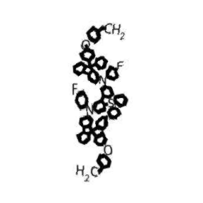 C=CC1=CC=C(OC2=CC=C(C3(C4=CC=CCC4)C4=C(CCC(N(C5=CC6C7C=C(N(C8=CCC(F)C=C8)C8=CC9C(C=C8)C8C=CC=CC8C9(C8=CC=CCC8)C8=CC=C(OC9=CC=C(C=C)CC9)CC8)C=CC7[Si](c7ccccc7)(C7CC=CCC7)C6C=C5)C5CC=C(F)CC5)=C4)C4C=CC=CC43)CC2)CC1